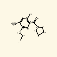 Nc1cc(F)c(C(=O)N2CCCC2)cc1OCF